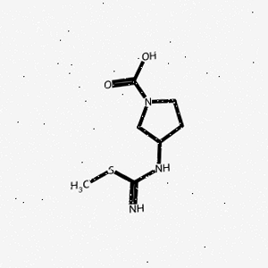 CSC(=N)NC1CCN(C(=O)O)C1